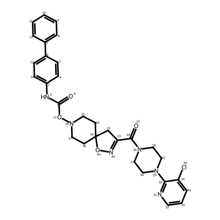 O=C(Nc1ccc(-c2ccccc2)cc1)ON1CCC2(CC1)CC(C(=O)N1CCN(c3ncccc3Cl)CC1)=NO2